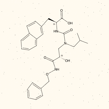 CC(C)CN(C[C@H](O)C(=O)NOCc1ccccc1)C(=O)N[C@@H](Cc1ccc2ccccc2c1)C(=O)O